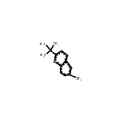 Cc1ccc2nc(C(C)(C)C)ccc2c1